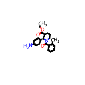 CCOC(=O)C1CCCN(C(=O)c2ccccc2C)C1[C@@H]1C=CC(N)=CC1